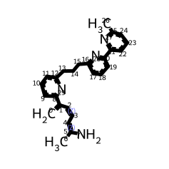 C=C(/C=C\C=C(\C)N)c1cccc(CCCc2cccc(-c3cccc(C)n3)n2)n1